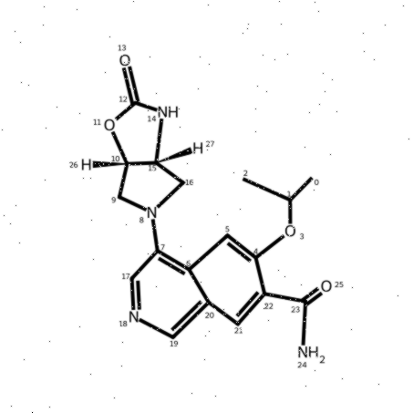 CC(C)Oc1cc2c(N3C[C@@H]4OC(=O)N[C@@H]4C3)cncc2cc1C(N)=O